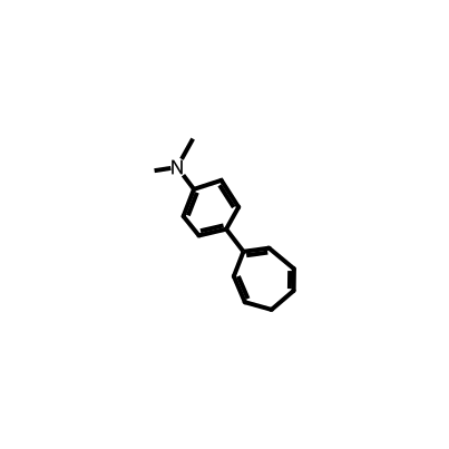 CN(C)c1ccc(C2=CC=CCC=C2)cc1